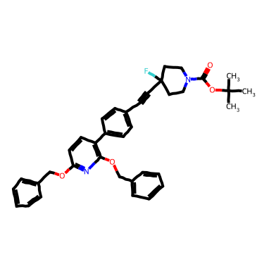 CC(C)(C)OC(=O)N1CCC(F)(C#Cc2ccc(-c3ccc(OCc4ccccc4)nc3OCc3ccccc3)cc2)CC1